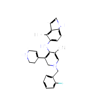 Cc1c(NC2=C(C3=CCNCC3)CN(Cc3ccccc3F)C=C2C#N)ccc2[nH]ccc12